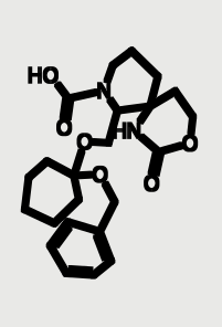 O=C1NC2(CCCN(C(=O)O)C2COC2(OCc3ccccc3)CCCCC2)CCO1